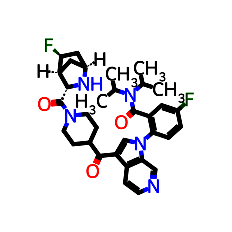 CC(C)N(C(=O)c1cc(F)ccc1-n1cc(C(=O)C2CCN(C(=O)[C@H]3N[C@H]4C[C@@H]3[C@@H](F)C4)CC2)c2ccncc21)C(C)C